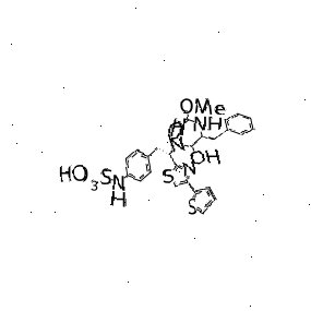 COC(=O)N[C@@H](Cc1ccccc1)C(O)N[C@@H](Cc1ccc(NS(=O)(=O)O)cc1)c1nc(-c2cccs2)cs1